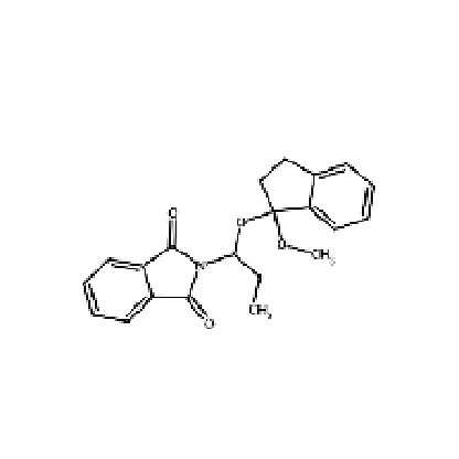 CCC(OC1(OC)CCc2ccccc21)N1C(=O)c2ccccc2C1=O